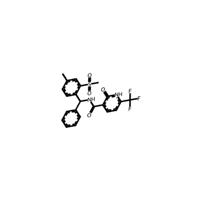 Cc1ccc(C(NC(=O)c2ccc(C(F)(F)F)[nH]c2=O)c2ccccc2)c(S(C)(=O)=O)c1